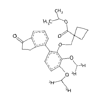 [2H]C([2H])Oc1ccc(-c2cccc3c2CCC3=O)c(OCC2(C(=O)OC(C)C)CCC2)c1OC([2H])[2H]